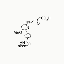 CCCCCNC(=O)c1ccc(-c2nc(NCCC(=O)CC(=O)O)ccc2OC)s1